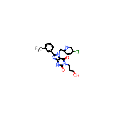 Cn1c(=O)n(CCCO)c(=O)c2c1nc(-c1cccc(C(F)(F)F)c1)n2CC1=NCC(Cl)C=C1